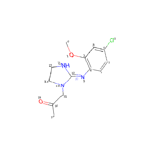 COc1cc(Cl)ccc1/N=C1\NCCN1CC(C)=O